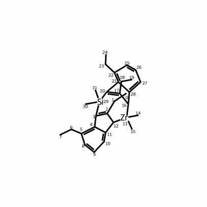 CCC1=C2c3c(CC)cccc3[CH]1[Zr]([CH3])([CH3])[CH]1C(CC)=C(c3c(CC)cccc31)[Si]2(C)C